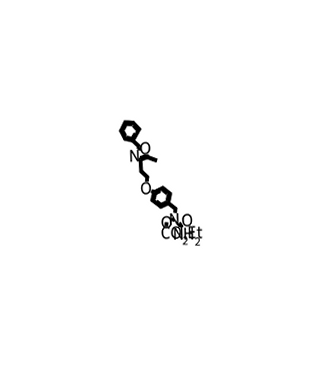 CCOC(=O)ON(Cc1ccc(OCCc2nc(-c3ccccc3)oc2C)cc1)C(N)=O